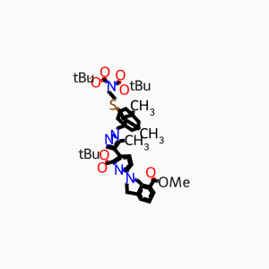 COC(=O)c1cccc2c1CN(c1ccc(-c3cnn(CC45CC6(C)CC(C)(C4)CC(SCCN(C(=O)OC(C)(C)C)C(=O)OC(C)(C)C)(C6)C5)c3C)c(C(=O)OC(C)(C)C)n1)CC2